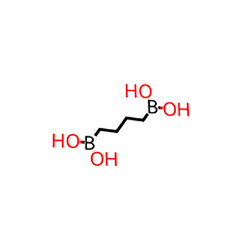 OB(O)CCCCB(O)O